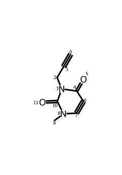 C#CCn1c(=O)c#cn(C)c1=O